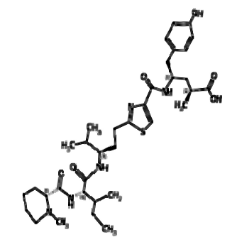 CCC(C)[C@H](NC(=O)[C@H]1CCCCN1C)C(=O)N[C@H](CCc1nc(C(=O)N[C@@H](Cc2ccc(O)cc2)C[C@H](C)C(=O)O)cs1)C(C)C